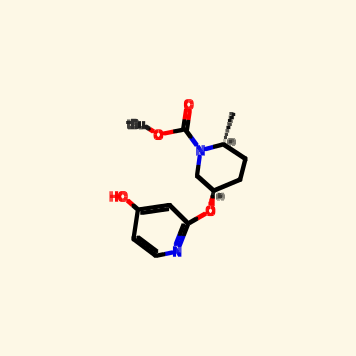 C[C@@H]1CC[C@@H](Oc2cc(O)ccn2)CN1C(=O)OC(C)(C)C